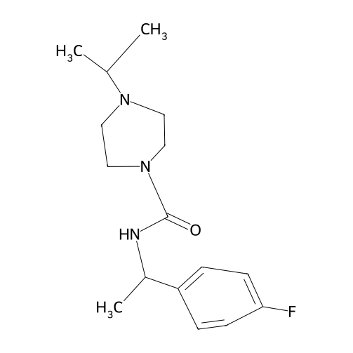 CC(NC(=O)N1CCN(C(C)C)CC1)c1ccc(F)cc1